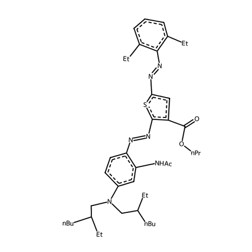 CCCCC(CC)CN(CC(CC)CCCC)c1ccc(N=Nc2sc(N=Nc3c(CC)cccc3CC)cc2C(=O)OCCC)c(NC(C)=O)c1